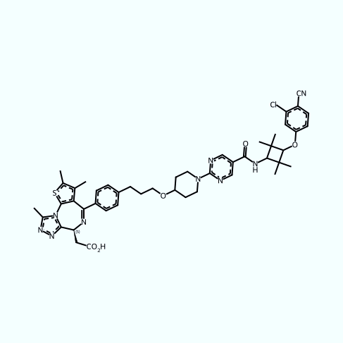 Cc1sc2c(c1C)C(c1ccc(CCCOC3CCN(c4ncc(C(=O)NC5C(C)(C)C(Oc6ccc(C#N)c(Cl)c6)C5(C)C)cn4)CC3)cc1)=N[C@@H](CC(=O)O)c1nnc(C)n1-2